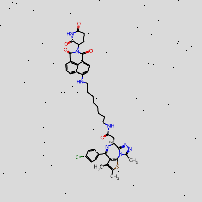 Cc1sc2c(c1C)C(c1ccc(Cl)cc1)=N[C@@H](CC(=O)NCCCCCCCCNc1ccc3c4c(cccc14)C(=O)N(C1CCC(=O)NC1=O)C3=O)c1nnc(C)n1-2